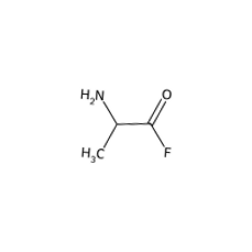 CC(N)C(=O)F